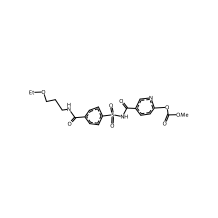 CCOCCCNC(=O)c1ccc(S(=O)(=O)NC(=O)c2ccc(OC(=O)OC)nc2)cc1